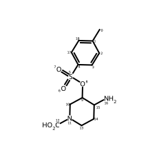 Cc1ccc(S(=O)(=O)OC2CN(C(=O)O)CCC2N)cc1